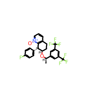 C[C@@H](O[C@@H]1CCc2ccc[n+]([O-])c2[C@H]1c1ccc(F)cc1)c1cc(C(F)(F)F)cc(C(F)(F)F)c1